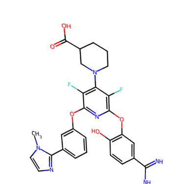 Cn1ccnc1-c1cccc(Oc2nc(Oc3cc(C(=N)N)ccc3O)c(F)c(N3CCCC(C(=O)O)C3)c2F)c1